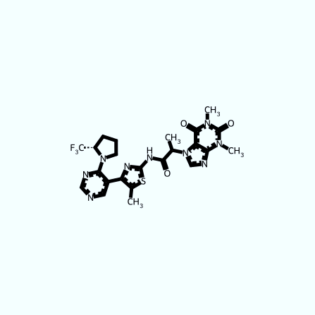 Cc1sc(NC(=O)C(C)n2cnc3c2c(=O)n(C)c(=O)n3C)nc1-c1cncnc1N1CCC[C@H]1C(F)(F)F